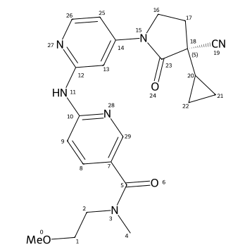 COCCN(C)C(=O)c1ccc(Nc2cc(N3CC[C@@](C#N)(C4CC4)C3=O)ccn2)nc1